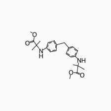 COC(=O)C(C)(C)Nc1ccc(Cc2ccc(NC(C)(C)C(=O)OC)cc2)cc1